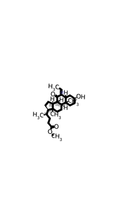 C/C=C1\C(=O)[C@@H]2[C@H](CC[C@]3(C)[C@@H]([C@H](C)CCC(=O)OC)CC[C@@H]23)[C@@]2(C)CC[C@@H](O)C[C@@H]12